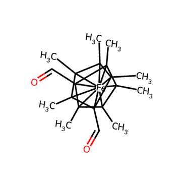 C[C]12[C]3(C)[C]4(C)[C]5(C=O)[C]1(C)[Fe]23451678[C]2(C)[C]1(C)[C]6(C)[C]7(C=O)[C]28C